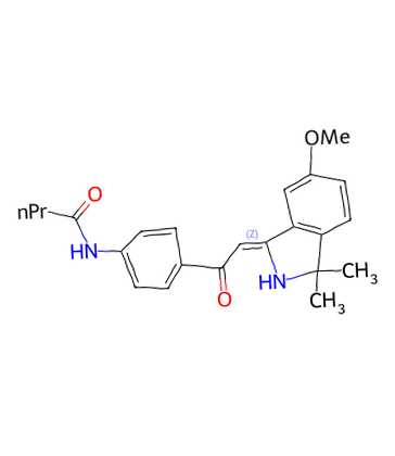 CCCC(=O)Nc1ccc(C(=O)/C=C2\NC(C)(C)c3ccc(OC)cc32)cc1